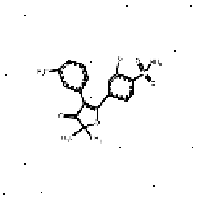 CC1(C)OC(c2ccc(S(N)(=O)=O)c(Br)c2)=C(c2cccc(C(F)(F)F)c2)C1=O